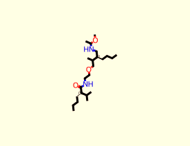 CCCC[C@H](CNC(C)OC)C(C)COCCNC(=O)[C@@H](CCCC)C(C)C